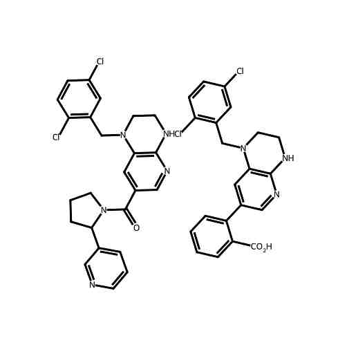 O=C(O)c1ccccc1-c1cnc2c(c1)N(Cc1cc(Cl)ccc1Cl)CCN2.O=C(c1cnc2c(c1)N(Cc1cc(Cl)ccc1Cl)CCN2)N1CCCC1c1cccnc1